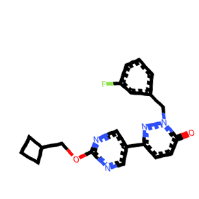 O=c1ccc(-c2cnc(OCC3CCC3)nc2)nn1Cc1cccc(F)c1